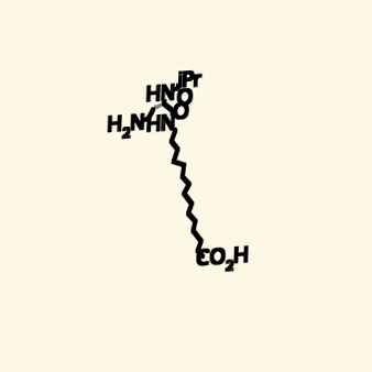 CC(C)C(=O)N[C@@H](CCN)C(=O)NCCCCCCCCCCCCCCC(=O)O